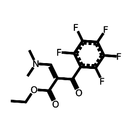 CCOC(=O)C(=CN(C)C)C(=O)c1c(F)c(F)c(F)c(F)c1F